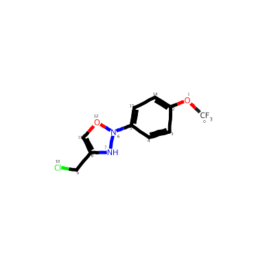 FC(F)(F)Oc1ccc(N2NC(CCl)=CO2)cc1